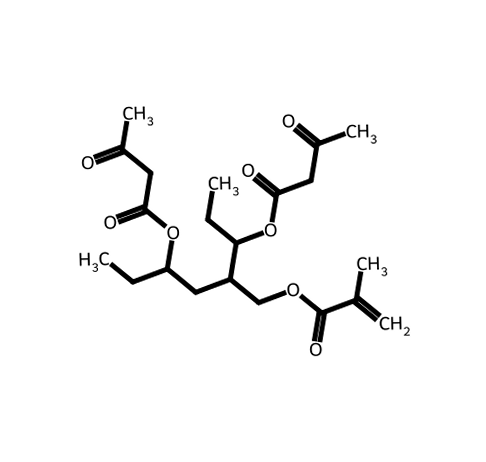 C=C(C)C(=O)OCC(CC(CC)OC(=O)CC(C)=O)C(CC)OC(=O)CC(C)=O